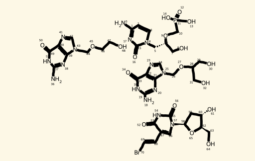 Nc1ccn(C[C@@H](CO)OCP(=O)(O)O)c(=O)n1.Nc1nc2c(ncn2COC(CO)CO)c(=O)[nH]1.Nc1nc2c(ncn2COCCO)c(=O)[nH]1.O=c1[nH]c(=O)n([C@H]2C[C@H](O)[C@@H](CO)O2)cc1/C=C/Br